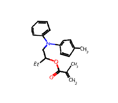 C=C(C)C(=O)OC(CC)CN(c1ccccc1)c1ccc(C)cc1